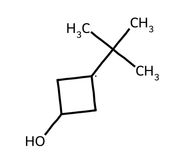 CC(C)(C)[C]1CC(O)C1